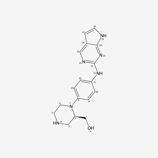 OC[C@H]1CNCCN1c1ccc(Nc2ncc3cc[nH]c3n2)cc1